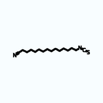 N#CCCCCCCCCCCCCCCN=C=S